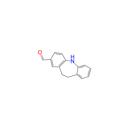 O=Cc1ccc2c(c1)CCc1ccccc1N2